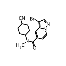 CN(C(=O)c1ccn2ncc(Br)c2c1)C1CCC(C#N)CC1